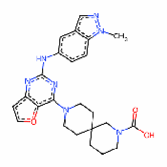 Cn1ncc2cc(Nc3nc(N4CCC5(CCCN(C(=O)O)C5)CC4)c4occc4n3)ccc21